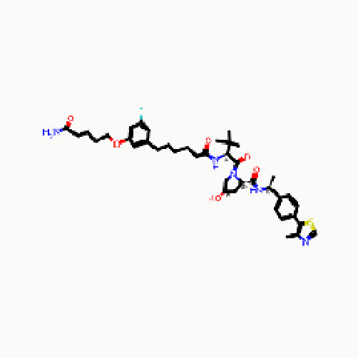 Cc1ncsc1-c1ccc([C@H](C)NC(=O)[C@@H]2C[C@@H](O)CN2C(=O)[C@@H](NC(=O)CCCCCc2cc(F)cc(OCCCCC(N)=O)c2)C(C)(C)C)cc1